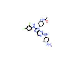 CC(=O)N[C@H]1CC[C@H](n2c(Nc3ccc(F)cc3F)nc3cnc(N[C@H]4CC[C@H](N)CC4)nc32)CC1